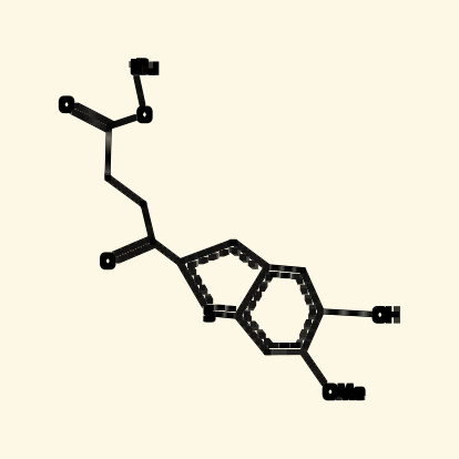 COc1cc2sc(C(=O)CCC(=O)OC(C)(C)C)cc2cc1O